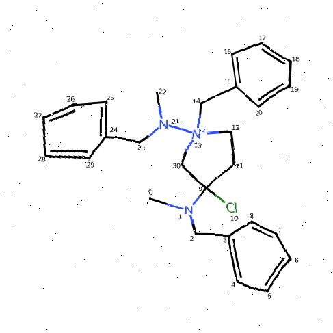 CN(Cc1ccccc1)C1(Cl)CC[N+](Cc2ccccc2)(N(C)Cc2ccccc2)C1